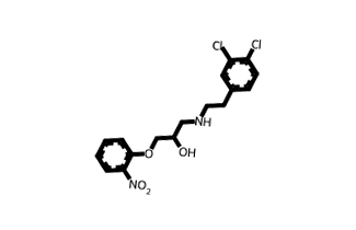 O=[N+]([O-])c1ccccc1OCC(O)CNCCc1ccc(Cl)c(Cl)c1